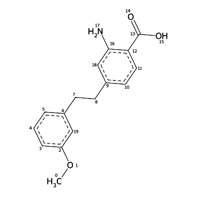 COc1cccc(CCc2ccc(C(=O)O)c(N)c2)c1